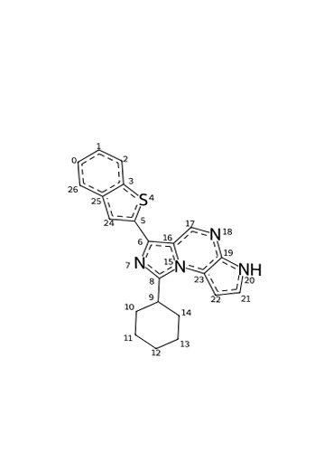 c1ccc2sc(-c3nc(C4CCCCC4)n4c3cnc3[nH]ccc34)cc2c1